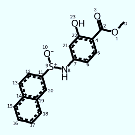 COC(=O)c1ccc(N[S+]([O-])c2ccc3ccccc3c2)cc1O